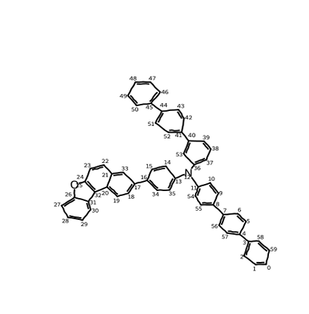 c1ccc(-c2ccc(-c3ccc(N(c4ccc(-c5ccc6c(ccc7oc8ccccc8c76)c5)cc4)c4cccc(-c5ccc(-c6ccccc6)cc5)c4)cc3)cc2)cc1